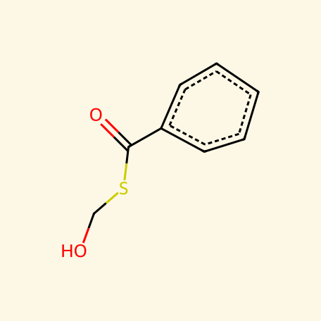 O=C(SCO)c1ccccc1